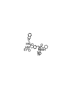 CCC(=O)N[C@H](Cc1ccc(CNC(=O)[C@@H](NC(=O)c2ccnn2C)C2CCCCC2)cc1)C(=O)NCCN1Cc2ccccc2C1